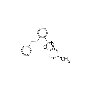 Cc1ccc2oc(-c3ccccc3C=Cc3ccccc3)nc2c1